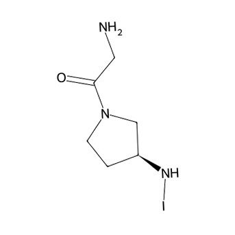 NCC(=O)N1CC[C@H](NI)C1